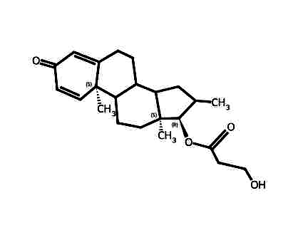 CC1CC2C3CCC4=CC(=O)C=C[C@]4(C)C3CC[C@]2(C)[C@@H]1OC(=O)CCO